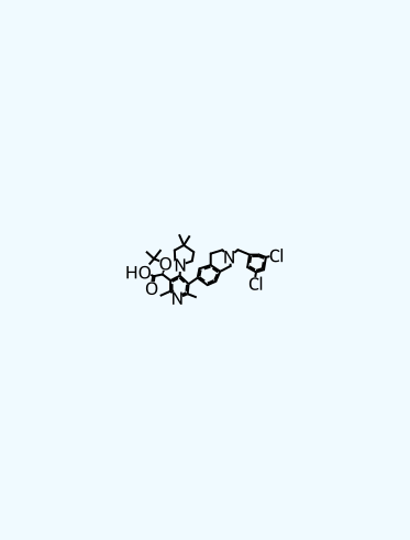 Cc1nc(C)c([C@H](OC(C)(C)C)C(=O)O)c(N2CCC(C)(C)CC2)c1-c1ccc2c(c1)CCN(Cc1cc(Cl)cc(Cl)c1)C2